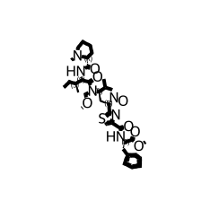 CC[C@H](C)[C@H](NC(=O)[C@H]1CCCCN1C)C(=O)N(COC)[C@H](C[C@@H](N=O)c1nc(C(=O)N[C@@H](Cc2ccccc2)C(=O)OC)cs1)C(C)C